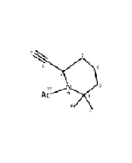 C#CC1CCCC(C)(C)N1C(C)=O